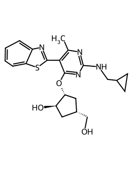 Cc1nc(NCC2CC2)nc(O[C@@H]2C[C@H](CO)C[C@H]2O)c1-c1nc2ccccc2s1